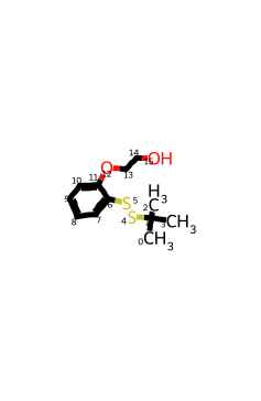 CC(C)(C)SSc1ccccc1OCCO